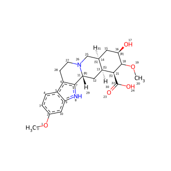 COc1ccc2c3c([nH]c2c1)[C@H]1C[C@H]2[C@H](C[C@@H](O)C(OC)[C@H]2C(=O)O)CN1CC3